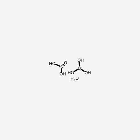 O.O=[Si](O)O.OB(O)O